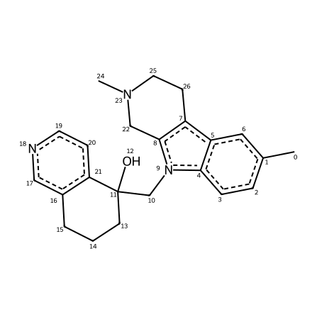 Cc1ccc2c(c1)c1c(n2CC2(O)CCCc3cnccc32)CN(C)CC1